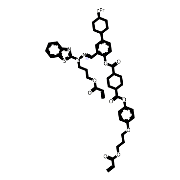 C=CC(=O)OCCCOc1ccc(OC(=O)C2CCC(C(=O)Oc3ccc(C4CCC(CCC)CC4)cc3/C=N/N(CCCOC(=O)C=C)c3nc4ccccc4s3)CC2)cc1